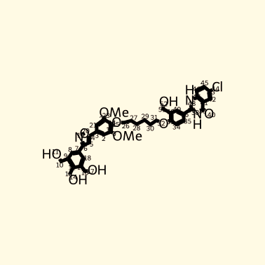 COc1cc(-c2cc(-c3cc(CO)c(CO)c(CO)c3)no2)cc(OC)c1OCCCCCCOc1ccc(C2NC(=O)c3cc(Cl)ccc3N2)cc1CO